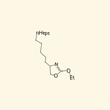 CCCCCCCCCCCCC1COC(OCC)=N1